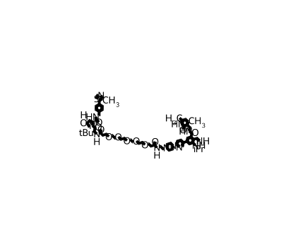 Cc1cc(C)c(CNC(=O)c2cc(-c3ccc(N4CCN(CCNC(=O)CCOCCOCCOCCOCCOCCC(=O)N[C@H](C(=O)N5C[C@H](O)C[C@H]5C(=O)NCc5ccc(-c6scnc6C)cc5)C(C)(C)C)CC4)nc3)cc(NC(C)C)c2C=N)c(=O)[nH]1